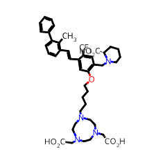 Cc1c(/C=C/c2cc(OCCCCCN3CCN(CC(=O)O)CCN(CC(=O)O)CC3)c(CN3CCCC[C@H]3C(=O)O)cc2C(F)(F)F)cccc1-c1ccccc1